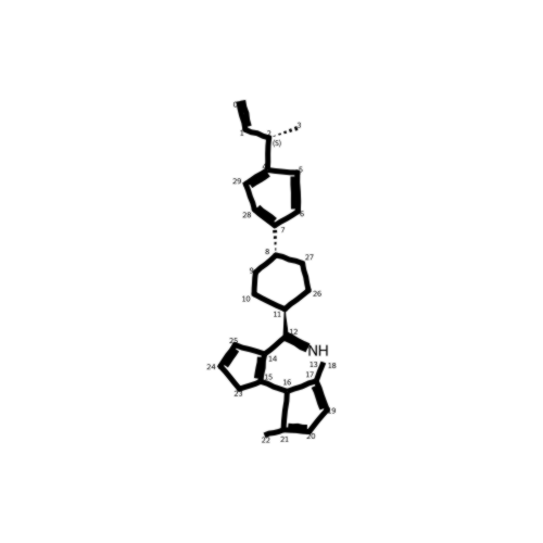 C=C[C@H](C)c1ccc([C@H]2CC[C@H](C(=N)C3=C(C4C(C)=CC=C4C)CC=C3)CC2)cc1